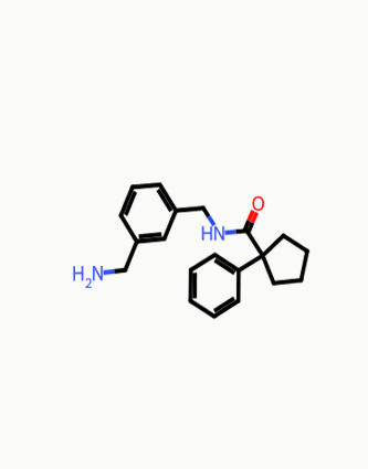 NCc1cccc(CNC(=O)C2(c3ccccc3)CCCC2)c1